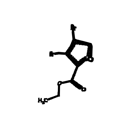 CCOC(=O)c1occ(Br)c1Br